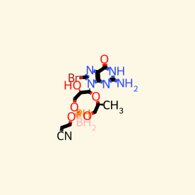 B[PH]1(OCCC#N)OC[C@H](C)O[C@@H](n2c(Br)nc3c(=O)[nH]c(N)nc32)[C@@H](O)CO1